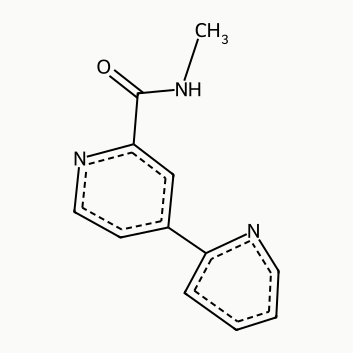 CNC(=O)c1cc(-c2ccccn2)ccn1